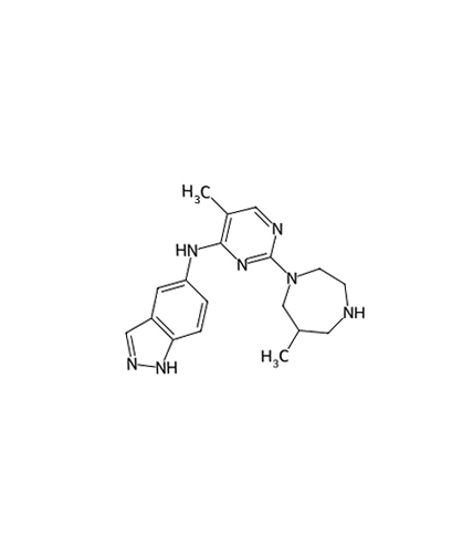 Cc1cnc(N2CCNCC(C)C2)nc1Nc1ccc2[nH]ncc2c1